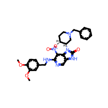 COc1ccc(CNc2ncc3[nH]c(=O)n([C@H]4CN(Cc5ccccc5)CC[C@H]4C)c3c2[N+](=O)[O-])cc1OC